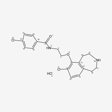 Cl.O=C(NCCOc1c(Cl)ccc2c1CCNCC2)c1ccc(Cl)cc1